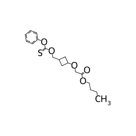 CCCCOC(=O)COC1CC(COC(=S)Oc2ccccc2)C1